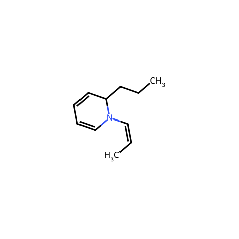 C/C=C\N1C=CC=CC1CCC